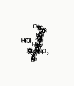 Cl.Cl.O=C(NS(=O)(=O)c1ccc(N[C@H](CCN2CCOCC2)CSc2ccccc2)c([N+](=O)[O-])c1)c1ccc2c(c1)CC[C@H]1CN(Cc3ccccc3-c3ccc(Cl)cc3)CCN21